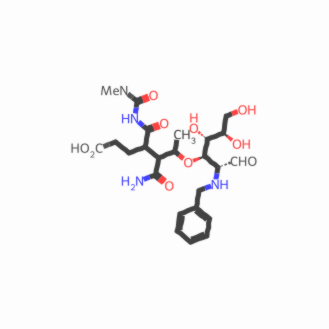 CNC(=O)NC(=O)C(CCC(=O)O)C(C(N)=O)C(C)O[C@@H]([C@H](O)[C@H](O)CO)[C@H](C=O)NCc1ccccc1